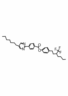 CCCCCCCc1cnc(-c2ccc(C(=O)Oc3ccc(CCC(CCCC)C(F)(F)F)cc3)cc2)nc1